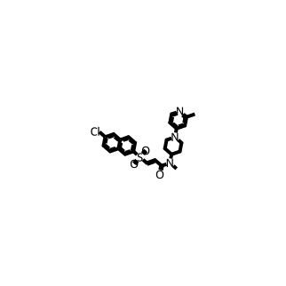 Cc1cc(N2CCC(N(C)C(=O)C=CS(=O)(=O)c3ccc4cc(Cl)ccc4c3)CC2)ccn1